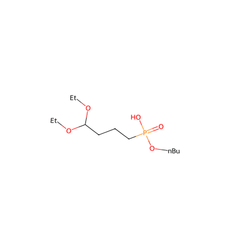 CCCCOP(=O)(O)CCCC(OCC)OCC